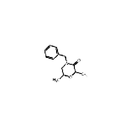 CC1CN(Cc2ccccc2)C(=O)C(C(F)(F)F)O1